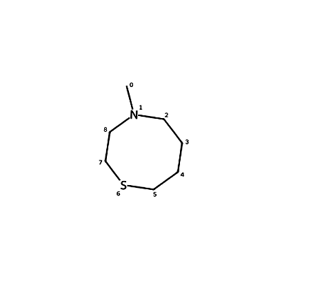 CN1CCCCSCC1